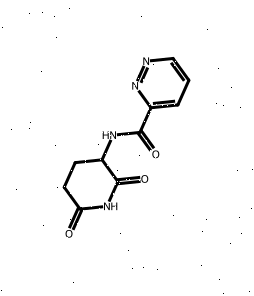 O=C1CCC(NC(=O)c2cccnn2)C(=O)N1